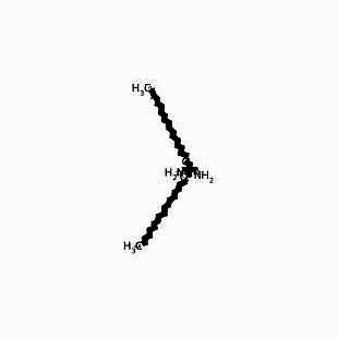 CCCCCCCCCCCCCCCCCCOCC(CN)(CN)COCCCCCCCCCCCCCCCCCC